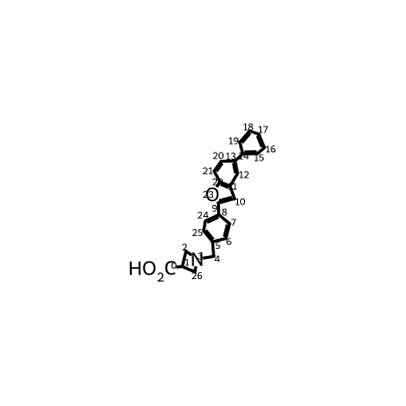 O=C(O)C1CN(Cc2ccc(-c3cc4cc(-c5ccccc5)ccc4o3)cc2)C1